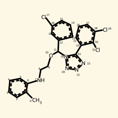 Cc1ccccc1NCCOC(c1cccc(Cl)c1)n1nnnc1-c1cccc(Cl)c1Cl